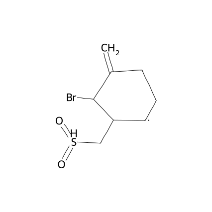 C=C1CC[CH]C(C[SH](=O)=O)C1Br